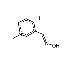 C[n+]1cccc(C=NO)c1.[I-]